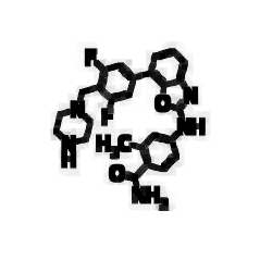 Cc1cc(Nc2nc3cccc(-c4cc(F)c(CN5CCNCC5)c(F)c4)c3o2)ccc1C(N)=O